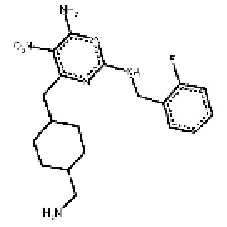 NCC1CCC(Cc2nc(NCc3ccccc3F)nc(N)c2[N+](=O)[O-])CC1